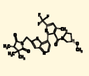 CO[C@H]1CCN(C(=O)c2c(C)cc(C(F)(F)F)nc2-c2ccnc3cc(CN4C(=O)C(C)C(C)(C)C4=O)sc23)C1